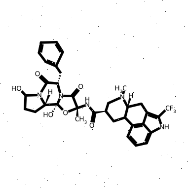 CN1C[C@H](C(=O)N[C@]2(C)O[C@@]3(O)[C@@H]4CCC(O)N4C(=O)[C@H](Cc4ccccc4)N3C2=O)CC2c3cccc4[nH]c(C(F)(F)F)c(c34)C[C@H]21